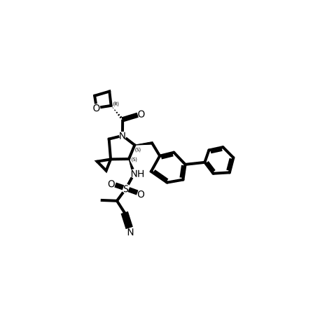 CC(C#N)S(=O)(=O)N[C@@H]1[C@H](Cc2cccc(-c3ccccc3)c2)N(C(=O)[C@H]2CCO2)CC12CC2